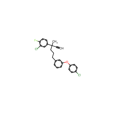 C#CC(C)(CCCc1cccc(Oc2ccc(Cl)cc2)c1)c1ccc(F)c(Cl)c1